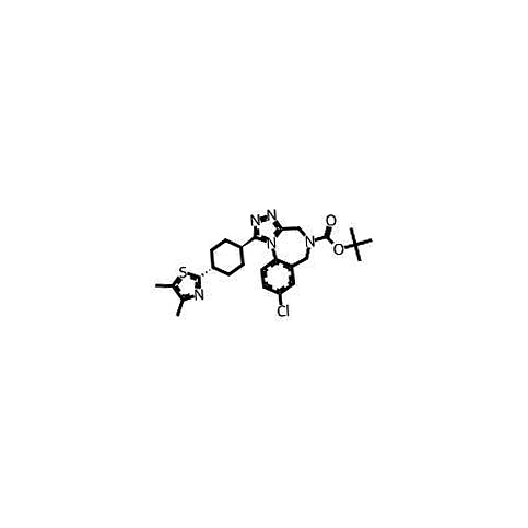 Cc1nc([C@H]2CC[C@H](c3nnc4n3-c3ccc(Cl)cc3CN(C(=O)OC(C)(C)C)C4)CC2)sc1C